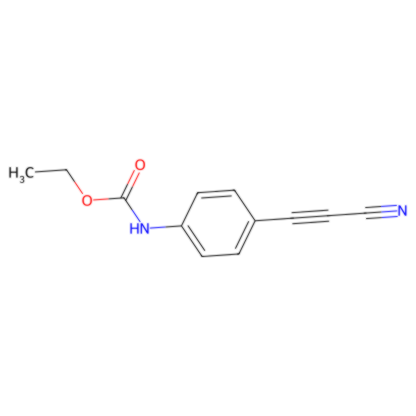 CCOC(=O)Nc1ccc(C#CC#N)cc1